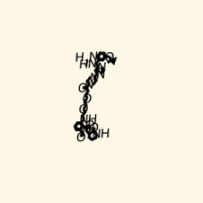 CC1(Oc2ccc(N)c(C(=N)c3cc(N4CCN(C(=O)CCOCCOCCNc5cccc6c5C(=O)N(C5CCCNC5=O)C6=O)CC4)ncn3)c2)CC1